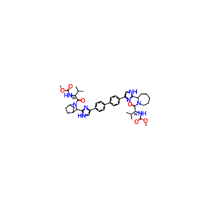 COC(=O)N[C@H](C(=O)N1CCCCCC1c1nc(-c2ccc(-c3ccc(-c4c[nH]c(C5C6CCC(C6)N5C(=O)[C@@H](NC(=O)OC)C(C)C)n4)cc3)cc2)c[nH]1)C(C)C